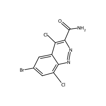 NC(=O)c1nnc2c(Cl)cc(Br)cc2c1Cl